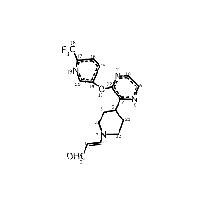 O=CC=CN1CCC(c2nccnc2Oc2ccc(C(F)(F)F)nc2)CC1